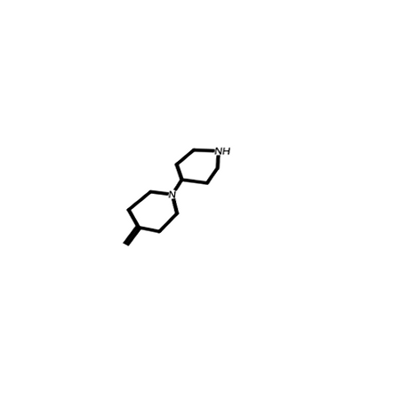 C=C1CCN(C2CCNCC2)CC1